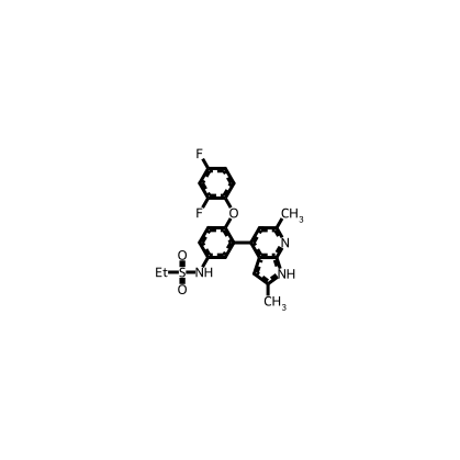 CCS(=O)(=O)Nc1ccc(Oc2ccc(F)cc2F)c(-c2cc(C)nc3[nH]c(C)cc23)c1